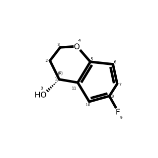 O[C@@H]1CCOc2ccc(F)cc21